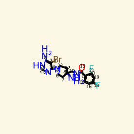 NC1=C(Br)C(N2CCC(N)(CNC(=O)c3ccc(F)cc3F)CC2)=NCN1